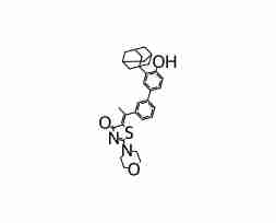 CC(=C1SC(N2CCOCC2)=NC1=O)c1cccc(-c2ccc(O)c(C34CC5CC(CC(C5)C3)C4)c2)c1